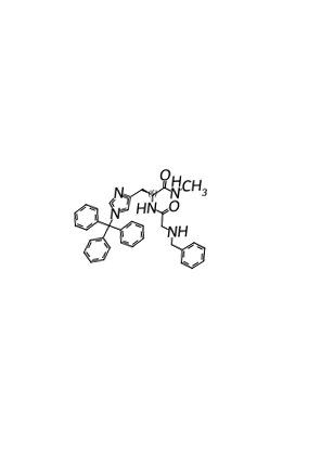 CNC(=O)[C@H](Cc1cn(C(c2ccccc2)(c2ccccc2)c2ccccc2)cn1)NC(=O)CNCc1ccccc1